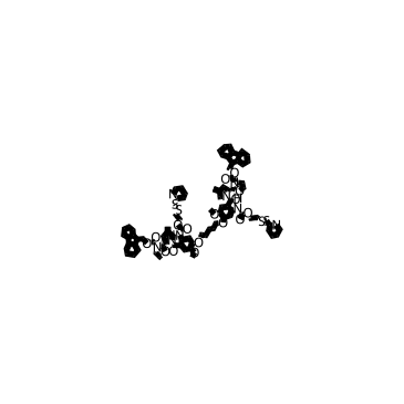 C=C1C[C@@H](C2OCCN2C(=O)OCC2c3ccccc3-c3ccccc32)N(C(=O)c2cc(OC)c(OCCCCCOc3cc(NC(=O)OCCSSc4ccccn4)c(C(=O)N4CC(=C)C[C@H]4C4OCCN4C(=O)OCC4c5ccccc5-c5ccccc54)cc3OC)cc2NC(=O)OCCSSc2ccccn2)C1